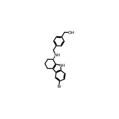 OCc1ccc(CN[C@@H]2CCCc3c2[nH]c2ccc(Br)cc32)cc1